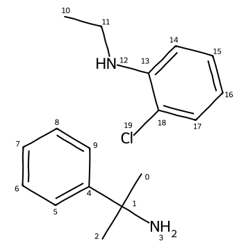 CC(C)(N)c1ccccc1.CCNc1ccccc1Cl